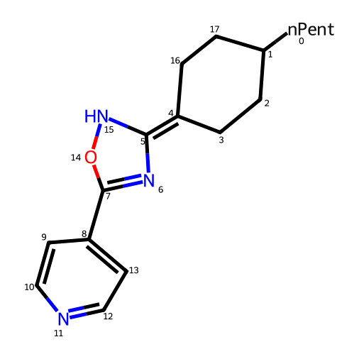 CCCCCC1CCC(=C2N=C(c3ccncc3)ON2)CC1